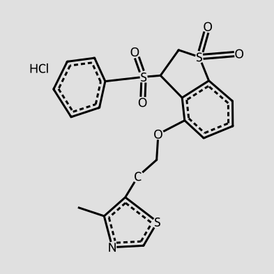 Cc1ncsc1CCOc1cccc2c1C(S(=O)(=O)c1ccccc1)CS2(=O)=O.Cl